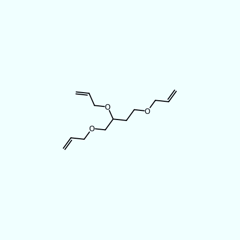 C=CCOCCC(COCC=C)OCC=C